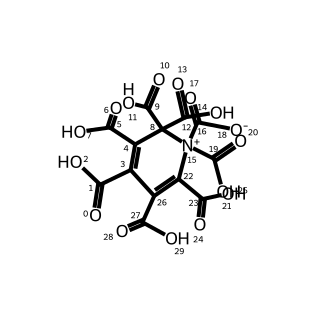 O=C(O)C1=C(C(=O)O)C(C(=O)O)(C(=O)O)[N+](C(=O)[O-])(C(=O)O)C(C(=O)O)=C1C(=O)O